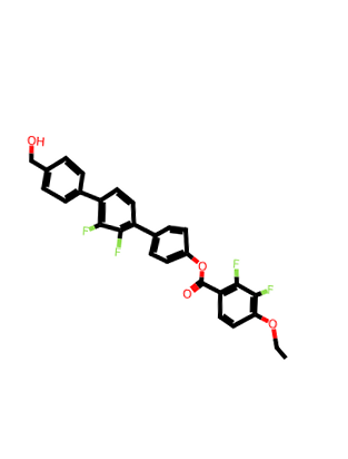 CCOc1ccc(C(=O)Oc2ccc(-c3ccc(-c4ccc(CO)cc4)c(F)c3F)cc2)c(F)c1F